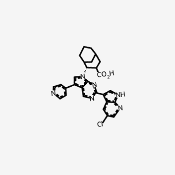 O=C(O)C1CC2CCCC(C2)[C@H]1n1cc(-c2ccncc2)c2cnc(-c3c[nH]c4ncc(Cl)cc34)nc21